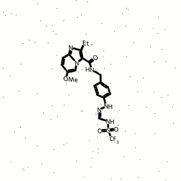 CCc1nc2ccc(OC)cn2c1C(=O)NCc1ccc(N/N=C\NS(=O)(=O)C(F)(F)F)cc1